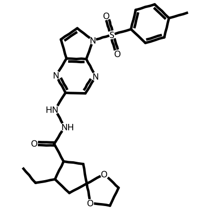 CCC1CC2(CC1C(=O)NNc1cnc3c(ccn3S(=O)(=O)c3ccc(C)cc3)n1)OCCO2